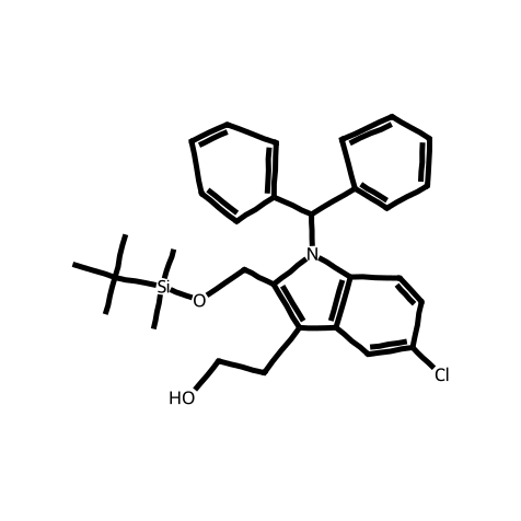 CC(C)(C)[Si](C)(C)OCc1c(CCO)c2cc(Cl)ccc2n1C(c1ccccc1)c1ccccc1